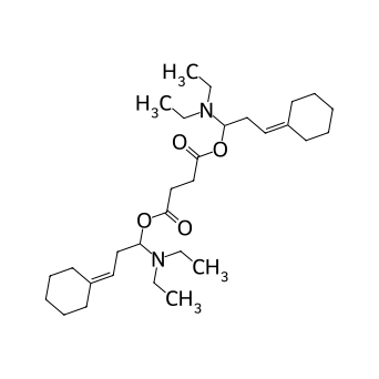 CCN(CC)C(CC=C1CCCCC1)OC(=O)CCC(=O)OC(CC=C1CCCCC1)N(CC)CC